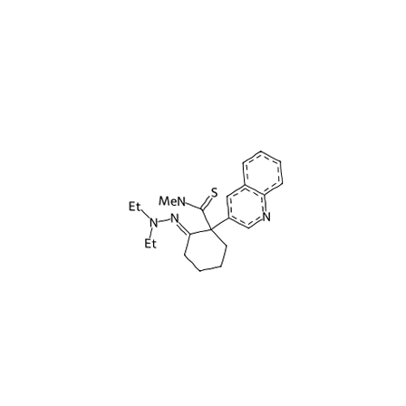 CCN(CC)N=C1CCCCC1(C(=S)NC)c1cnc2ccccc2c1